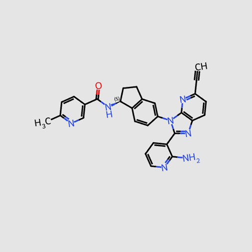 C#Cc1ccc2nc(-c3cccnc3N)n(-c3ccc4c(c3)CC[C@@H]4NC(=O)c3ccc(C)nc3)c2n1